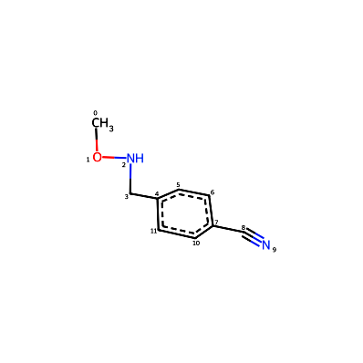 CONCc1ccc(C#N)cc1